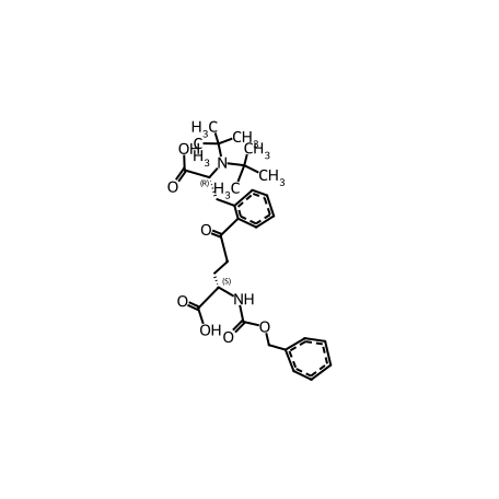 CC(C)(C)N([C@H](Cc1ccccc1C(=O)CC[C@H](NC(=O)OCc1ccccc1)C(=O)O)C(=O)O)C(C)(C)C